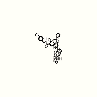 CS(=O)(=O)NC(=O)CN1CCN(c2cnc3c(cc(C(=O)NCc4ccc(Cl)cc4)c(=O)n3CC(=O)N3CCCC3)n2)C1=O